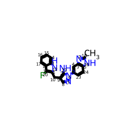 Cc1nc2cc(-n3ncc(Cc4[nH]c5ccccc5c4F)c3N)ccc2[nH]1